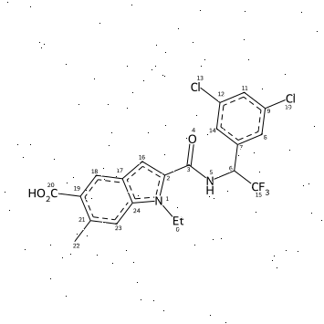 CCn1c(C(=O)NC(c2cc(Cl)cc(Cl)c2)C(F)(F)F)cc2cc(C(=O)O)c(C)cc21